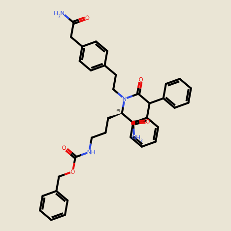 NC(=O)Cc1ccc(CCN(C(=O)C(c2ccccc2)c2ccccc2)[C@H](CCCNC(=O)OCc2ccccc2)C(N)=O)cc1